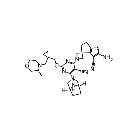 C[C@H]1COCCN1CC1(COc2nc(N3C[C@H]4CC[C@@H](C3)N4)c(C#N)c(N3CC4(CCc5sc(N)c(C#N)c54)C3)n2)CC1